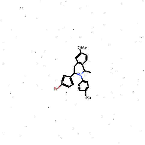 CCC(C)c1ccc(N2C(C)c3ccc(OC)cc3CC2c2ccc(Br)cc2)cc1